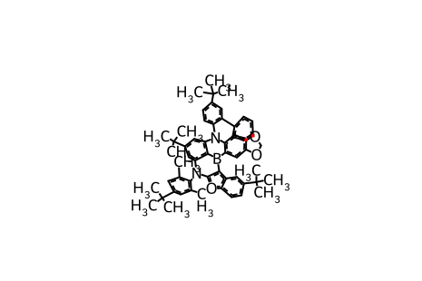 Cc1cc(C(C)(C)C)cc(C)c1N1c2cc(C(C)(C)C)cc3c2B(c2cc4c(cc2N3c2ccc(C(C)(C)C)cc2-c2ccccc2)OCO4)c2c1oc1ccc(C(C)(C)C)cc21